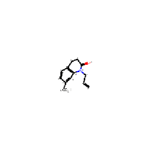 C=CCN1C(=O)CCc2ccc(C(=O)O)cc21